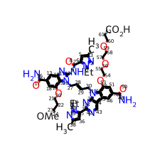 CCn1nc(C)cc1C(=O)Nc1nc2cc(C(N)=O)cc(OCCCOC)c2n1CC=CCn1c2nc(-c3cc(C)nn3CC)ncc2c2cc(C(N)=O)cc(OCCOCCOCCC(=O)O)c21